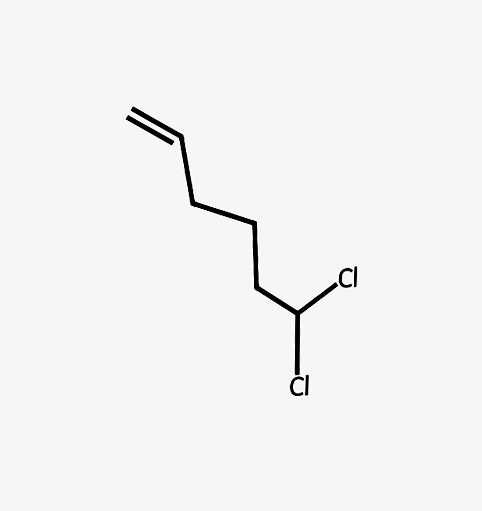 C=CCCCC(Cl)Cl